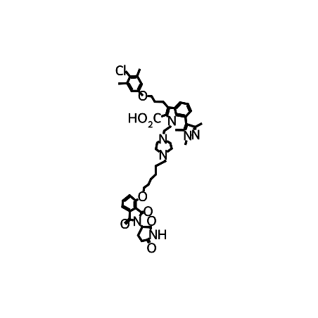 Cc1cc(OCCCc2c(C(=O)O)n(CCN3CCN(CCCCCCOc4cccc5c4C(=O)N(C4CCC(=O)NC4=O)C5=O)CC3)c3c(-c4c(C)nn(C)c4C)cccc23)cc(C)c1Cl